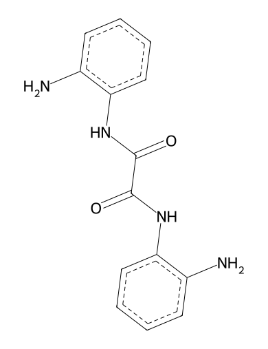 Nc1ccccc1NC(=O)C(=O)Nc1ccccc1N